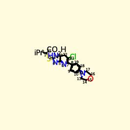 CC(C)C(SC1=NC2=NC(c3ccc(N4CCOCC4)cc3)=C(Cl)CC2N1)C(=O)O